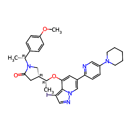 COc1ccc([C@@H](C)N2C[C@H]([C@@H](C)Oc3cc(-c4ccc(N5CCCCC5)cn4)cn4ncc(I)c34)CC2=O)cc1